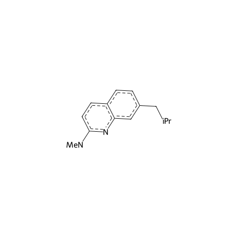 CNc1ccc2ccc(CC(C)C)cc2n1